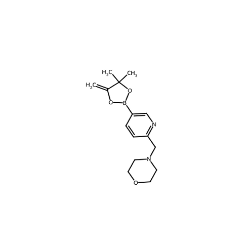 C=C1OB(c2ccc(CN3CCOCC3)nc2)OC1(C)C